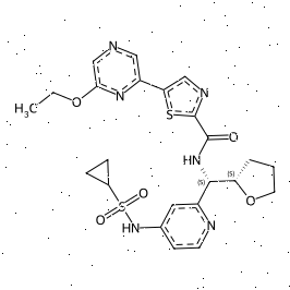 CCOc1cncc(-c2cnc(C(=O)N[C@@H](c3cc(NS(=O)(=O)C4CC4)ccn3)[C@@H]3CCCO3)s2)n1